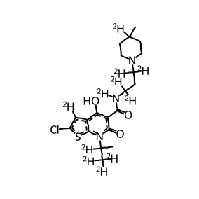 [2H]c1c(Cl)sc2c1c(O)c(C(=O)N([2H])C([2H])([2H])CC([2H])([2H])N1CCC([2H])(C)CC1)c(=O)n2C([2H])(C)C([2H])([2H])[2H]